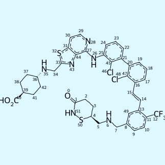 O=C1CC[C@@H](CNCc2ccc(C(F)(F)F)c(/C=C/c3cccc(-c4cccc(Nc5nccc6sc(CN[C@H]7CC[C@H](C(=O)O)CC7)nc56)c4Cl)c3Cl)c2)SN1